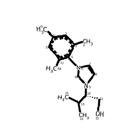 Cc1cc(C)c(N2C=CN([C@H](CO)C(C)C)C2)c(C)c1